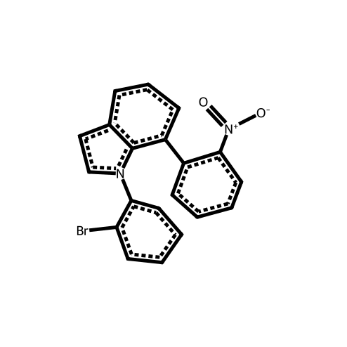 O=[N+]([O-])c1ccccc1-c1cccc2ccn(-c3ccccc3Br)c12